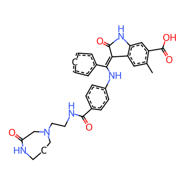 Cc1cc2c(cc1C(=O)O)NC(=O)/C2=C(/Nc1ccc(C(=O)NCCN2CCCNC(=O)C2)cc1)c1ccccc1